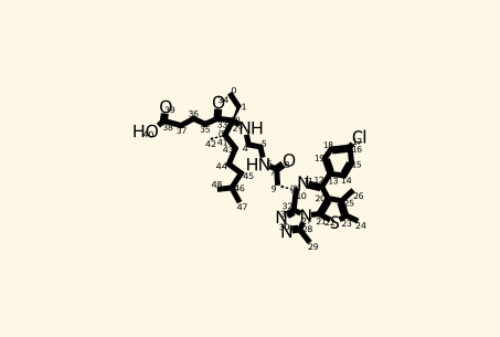 CC[C@](NCCNC(=O)C[C@@H]1N=C(c2ccc(Cl)cc2)c2c(sc(C)c2C)-n2c(C)nnc21)(C(=O)CCCC(=O)O)[C@@H](C)CCCC(C)C